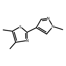 Cc1nc(-c2cnn(C)c2)sc1C